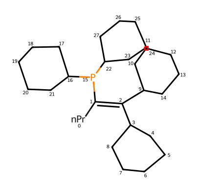 CCCC(=C(C1CCCCC1)C1CCCCC1)P(C1CCCCC1)C1CCCCC1